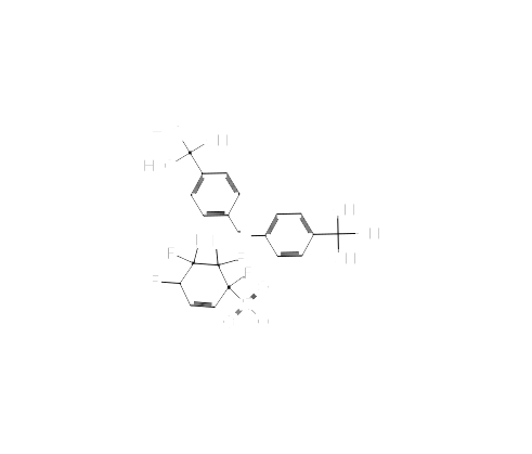 CC(C)(C)c1ccc([I+]c2ccc(C(C)(C)C)cc2)cc1.O=S(=O)([O-])C1(F)C=CC(F)C(F)(F)C1(F)F